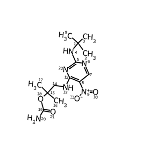 CC(C)(C)Nc1ncc([N+](=O)[O-])c(NCC(C)(C)OC(N)=O)n1